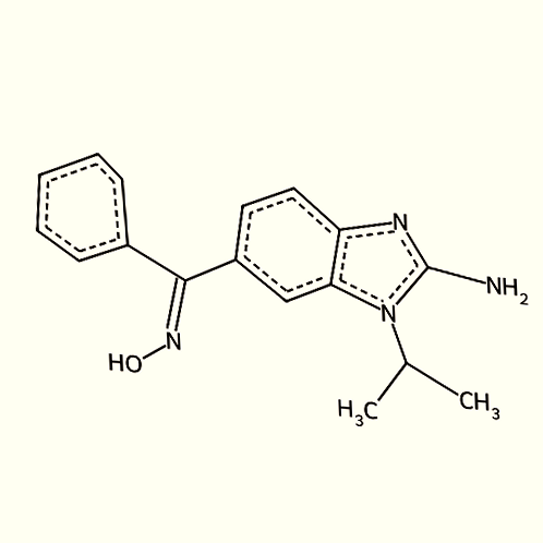 CC(C)n1c(N)nc2ccc(C(=NO)c3ccccc3)cc21